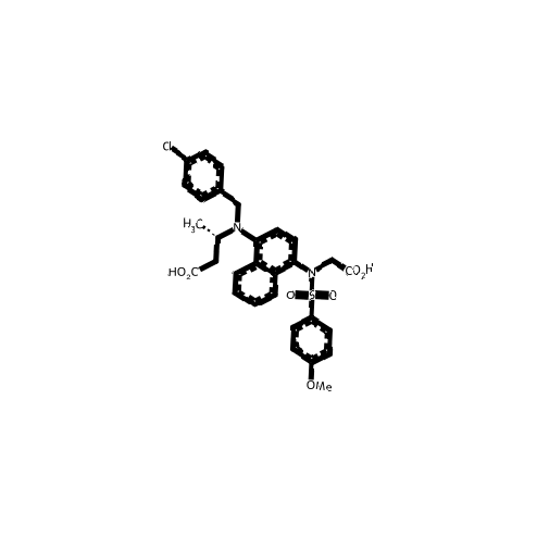 COc1ccc(S(=O)(=O)N(CC(=O)O)c2ccc(N(Cc3ccc(Cl)cc3)[C@@H](C)CC(=O)O)c3ccccc23)cc1